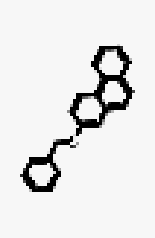 [c]1c(SCc2ccccc2)ccc2c1ccc1ccccc12